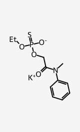 CCOP([O-])(=S)OCC(=O)N(C)c1ccccc1.[K+]